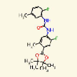 Cc1ccc(F)c(NC(=O)Nc2cc(C)c(B3OC(C)(C)C(C)(C)O3)cc2F)c1